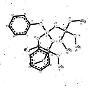 CCC(C)O[Si](OC(C)CC)(OC(C)CC)[O][Ti]([O]c1ccccc1)([O]c1ccccc1)[O][Si](OC(C)CC)(OC(C)CC)OC(C)CC